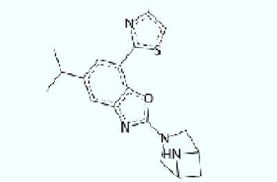 CC(C)c1cc(-c2nccs2)c2oc(N3CC4CC(C3)N4)nc2c1